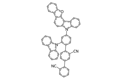 N#Cc1ccccc1-c1ccc(-c2ccc(-n3c4ccccc4c4c5oc6ccccc6c5ccc43)cc2-n2c3ccccc3c3ccccc32)c(C#N)c1